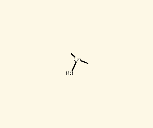 [CH3][Cm]([CH3])[OH]